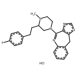 CN1CCN(C2=Nc3ccccc3Cc3scnc32)CC1CCc1ccc(F)cc1.Cl